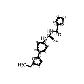 CCc1ccc(-c2ccc(NC(=S)NC(=O)c3cccs3)cc2)o1